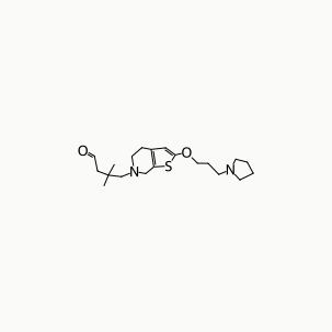 CC(C)(CC=O)CN1CCc2cc(OCCCN3CCCC3)sc2C1